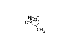 CC(CF)CS(N)(=O)=O